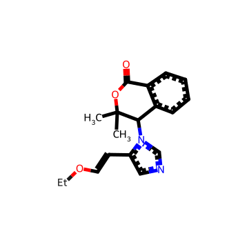 CCOC=Cc1cncn1C1c2ccccc2C(=O)OC1(C)C